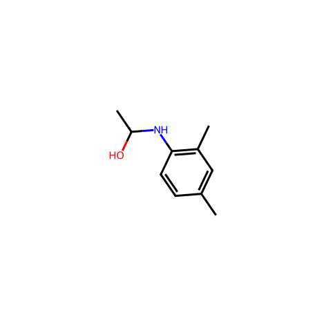 Cc1ccc(NC(C)O)c(C)c1